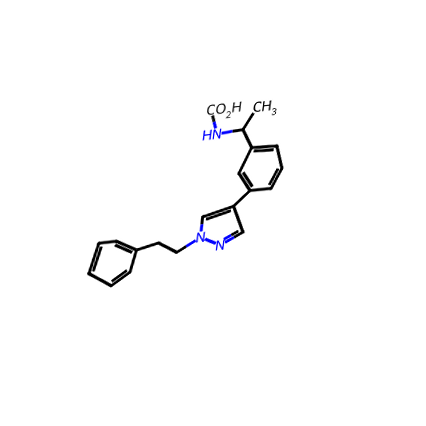 CC(NC(=O)O)c1cccc(-c2cnn(CCc3ccccc3)c2)c1